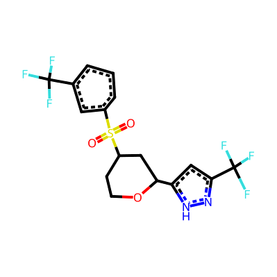 O=S(=O)(c1cccc(C(F)(F)F)c1)C1CCOC(c2cc(C(F)(F)F)n[nH]2)C1